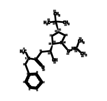 CN(Cc1ccccc1)C(=O)CC(O)[C@@H]1C[C@H](C(C)(C)C)CN1O[SiH](C)C